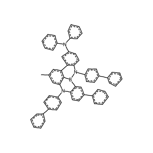 Cc1cc2c3c(c1)N(c1ccc(-c4ccccc4)cc1)c1ccc(-c4ccccc4)cc1B3N(c1ccc(-c3ccccc3)cc1)c1ccc(N(c3ccccc3)c3ccccc3)cc1-2